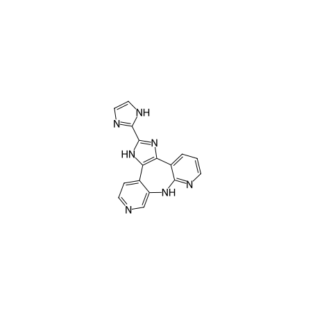 c1cnc2c(c1)-c1nc(-c3ncc[nH]3)[nH]c1-c1ccncc1N2